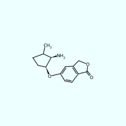 CC1CC[C@H](Oc2ccc3c(c2)COC3=O)[C@@H]1N